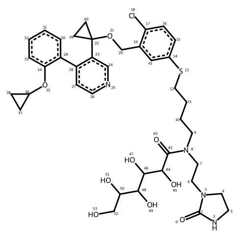 O=C1NCCN1CCN(CCCCSc1ccc(Cl)c(COC2(c3cnccc3-c3ccccc3OC3CC3)CC2)c1)C(=O)C(O)C(O)C(O)C(O)CO